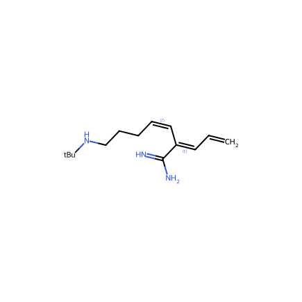 C=C/C=C(\C=C/CCCNC(C)(C)C)C(=N)N